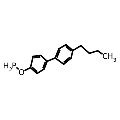 CCCCc1ccc(-c2ccc(OP)cc2)cc1